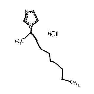 CCCCCCCC(C)n1ccnc1.Cl